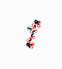 CC(F)(F)C(=O)OC(CCC(=O)OCC(=O)OC1C2CC3C(=O)OC1C3C2)C(=O)OCC(=O)OC1C2CC3C(=O)OC1C3C2